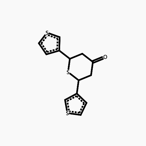 O=C1CC(c2ccsc2)SC(c2ccsc2)C1